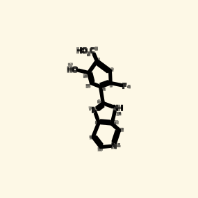 O=C(O)c1cc(F)c(-c2nc3ccncc3[nH]2)cc1O